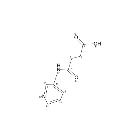 O=C(O)CCC(=O)Nc1cccnc1